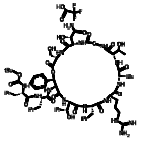 CC[C@H](C)[C@@H]1NC(=O)[C@@H](CCCNC(=N)N)NC(=O)[C@H](CC(C)C)NC(=O)[C@H]([C@H](O)C(C)C)NC(=O)[C@@H](NC(=O)[C@H](CC(C)C)NC(=O)[C@H](CC(C)C)NC(=O)OC(C)(C)C)[C@@H](c2ccccc2)OC(=O)[C@H](CO)NC(=O)[C@H]([C@H](O)C(N)=O)NC(=O)CNC(=O)[C@H]([C@H](C)O)NC1=O.O=C(O)C(F)(F)F